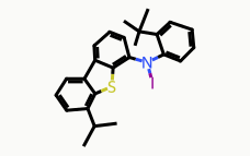 CC(C)c1cccc2c1sc1c(N(I)c3ccccc3C(C)(C)C)cccc12